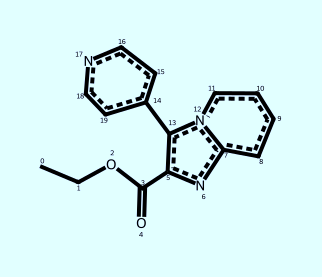 CCOC(=O)c1nc2ccccn2c1-c1ccncc1